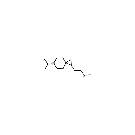 CSCCC1CC12CCN(C(C)C)CC2